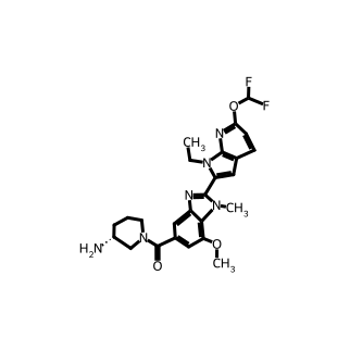 CCn1c(-c2nc3cc(C(=O)N4CCC[C@@H](N)C4)cc(OC)c3n2C)cc2ccc(OC(F)F)nc21